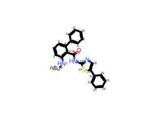 CCCCNc1cccc(-c2ccccc2)c1C(=O)Nc1ncc(-c2ccccc2)s1